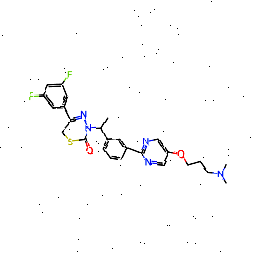 CC(c1cccc(-c2ncc(OCCCN(C)C)cn2)c1)N1N=C(c2cc(F)cc(F)c2)CSC1=O